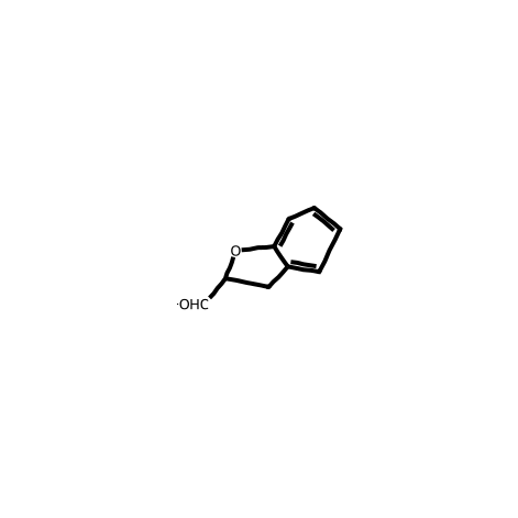 O=[C]C1Cc2ccccc2O1